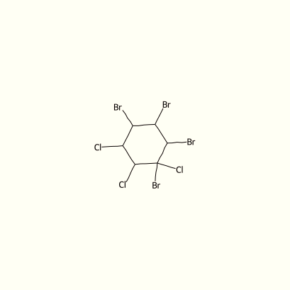 ClC1C(Br)C(Br)C(Br)C(Cl)(Br)C1Cl